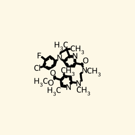 COC(=O)c1c(C)cc(N(C)CCN(C)C(=O)c2ccc3c(n2)C(C)(C)CN3c2ccc(Cl)c(F)c2)nc1C